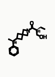 CC[C@H](CO)C(=O)N1CC2(CC([C@H](C)c3ccccc3)C2)C1